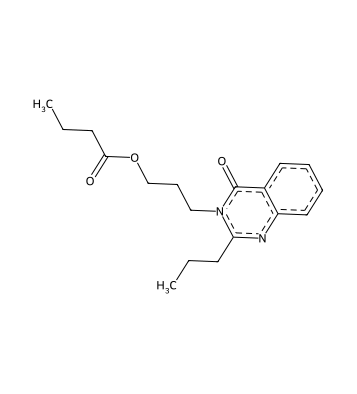 CCCC(=O)OCCCn1c(CCC)nc2ccccc2c1=O